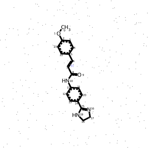 COc1ccc(/C=C/C(=O)Nc2ccc(C3=NCCN3)cc2)cc1